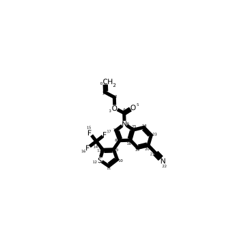 C=CCOC(=O)n1cc(-c2ccsc2C(F)(F)F)c2cc(C#N)ccc21